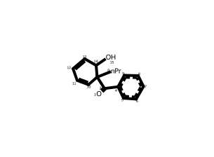 CCCC1(C(=O)c2ccccc2)C=CC=CC1O